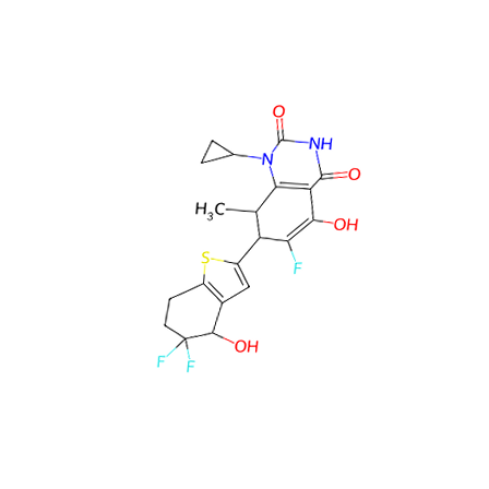 CC1c2c(c(=O)[nH]c(=O)n2C2CC2)C(O)=C(F)C1c1cc2c(s1)CCC(F)(F)C2O